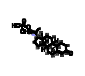 C/C(=N\OP(=O)(O)O)[C@H]1CC[C@H]2[C@@H]3CCC4=CC(=O)CC[C@]4(C)[C@H]3CC[C@]12C